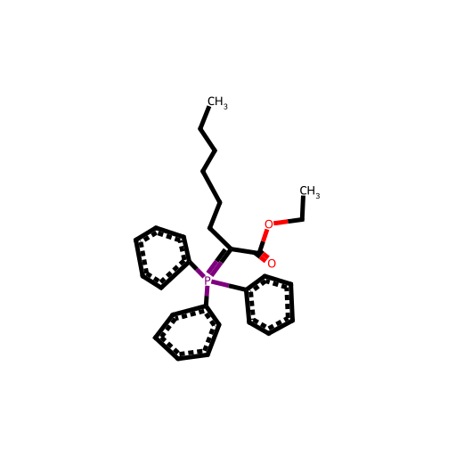 CCCCCCC(C(=O)OCC)=P(c1ccccc1)(c1ccccc1)c1ccccc1